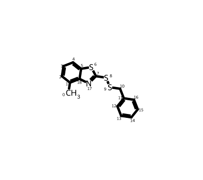 Cc1cccc2sc(SSCc3ccccc3)nc12